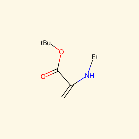 C=C(NCC)C(=O)OC(C)(C)C